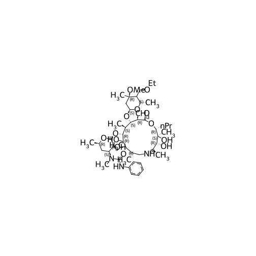 CCC[C@H]1OC(=O)[C@H](C)[C@@H](O[C@H]2C[C@@](C)(OC)C(COCC)[C@H](C)O2)[C@H](C)[C@@H](O[C@@H]2O[C@H](C)C[C@H](N(C)C(=O)Nc3ccccc3)[C@H]2O)[C@](C)(O)C[C@@H](C)CN[C@H](C)[C@@H](O)[C@]1(C)O